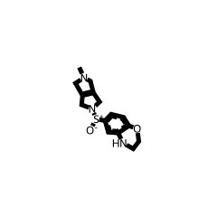 CN1CC2=C(C1)CN([S+]([O-])c1ccc3c(c1)NCCO3)C2